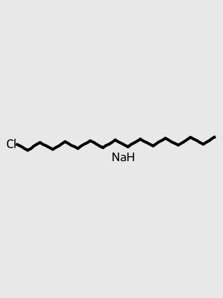 CCCCCCCCCCCCCCCCCl.[NaH]